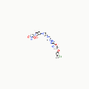 CC1(C)C(NC(=O)c2cnc(N3CCCN(CC4CCN(c5ccc6c(c5)C(=O)N(C5CCC(=O)NC5=O)C6=O)CC4)CC3)nc2)C(C)(C)C1Oc1ccc(C#N)c(Cl)c1